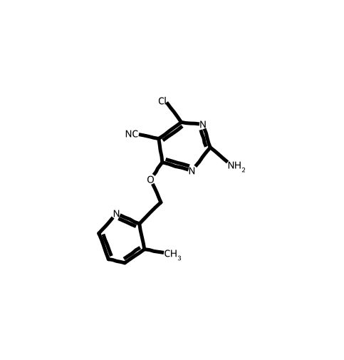 Cc1cccnc1COc1nc(N)nc(Cl)c1C#N